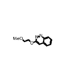 COCCOc1cc2ccccc2nn1